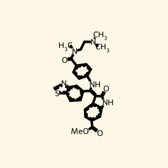 COC(=O)c1ccc2c(c1)NC(=O)/C2=C(\Nc1ccc(C(=O)N(C)CCN(C)C)cc1)c1ccc2scnc2c1